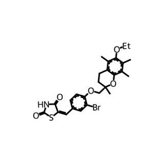 CCOc1c(C)c(C)c2c(c1C)CCC(C)(COc1ccc(C=C3SC(=O)NC3=O)cc1Br)O2